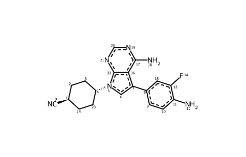 N#C[C@H]1CC[C@H](n2cc(-c3ccc(N)c(F)c3)c3c(N)ncnc32)CC1